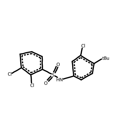 CC(C)(C)c1ccc(NS(=O)(=O)c2cccc(Cl)c2Cl)cc1Cl